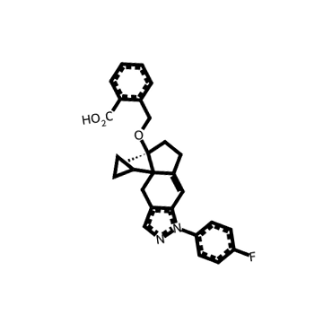 C[C@]1(OCc2ccccc2C(=O)O)CCC2=Cc3c(cnn3-c3ccc(F)cc3)CC21C1CC1